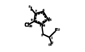 FC(F)Cn1ncc(I)c1Cl